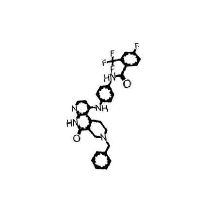 O=C(Nc1ccc(Nc2ccnc3[nH]c(=O)c4c(c23)CCN(Cc2ccccc2)C4)cc1)c1ccc(F)cc1C(F)(F)F